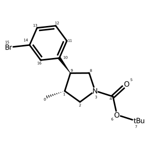 C[C@H]1CN(C(=O)OC(C)(C)C)C[C@@H]1c1cccc(Br)c1